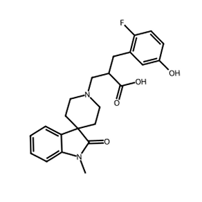 CN1C(=O)C2(CCN(CC(Cc3cc(O)ccc3F)C(=O)O)CC2)c2ccccc21